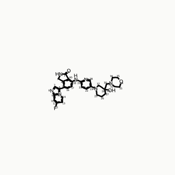 O=C1NCc2c(-c3cnc4cc(F)ccn34)ccc(Nc3ccc(N4CCCC(O)(CN5CCOCC5)C4)cn3)c21